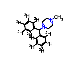 [2H]c1c([2H])c([2H])c(C(c2c([2H])c([2H])c([2H])c([2H])c2[2H])N2CCN(C)CC2)c([2H])c1[2H]